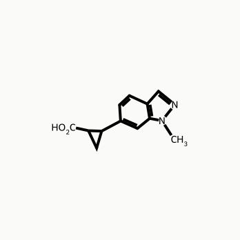 Cn1ncc2ccc(C3CC3C(=O)O)cc21